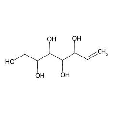 C=CC(O)C(O)C(O)C(O)CO